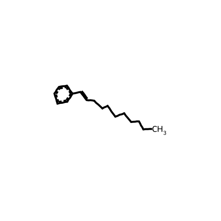 CCCCCCCCCC=Cc1ccccc1